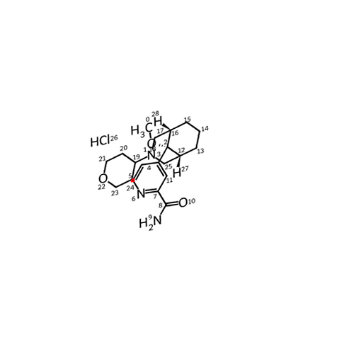 CO[C@@]1(c2ccnc(C(N)=O)c2)[C@@H]2CCC[C@H]1CN(C1CCOCC1)C2.Cl